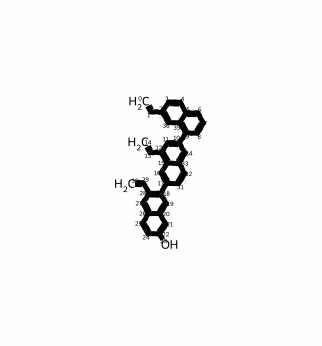 C=Cc1ccc2cccc(-c3cc(C=C)c4cc(-c5cc6cc(O)ccc6cc5C=C)ccc4c3)c2c1